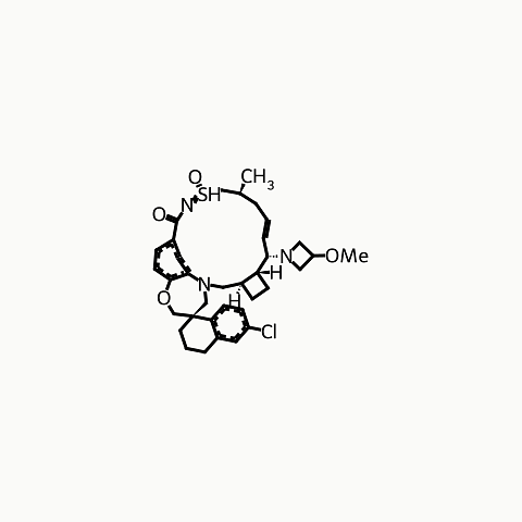 COC1CN([C@H]2/C=C/C[C@H](C)C/[SH](=O)=N\C(=O)c3ccc4c(c3)N(C[C@@H]3CC[C@H]32)C[C@@]2(CCCc3cc(Cl)ccc32)CO4)C1